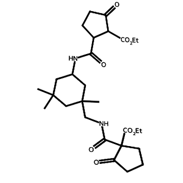 CCOC(=O)C1C(=O)CCC1C(=O)NC1CC(C)(C)CC(C)(CNC(=O)C2(C(=O)OCC)CCCC2=O)C1